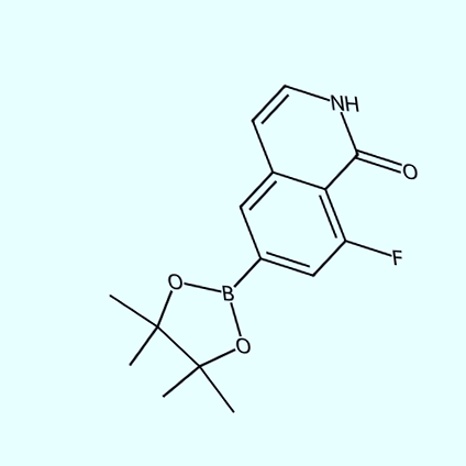 CC1(C)OB(c2cc(F)c3c(=O)[nH]ccc3c2)OC1(C)C